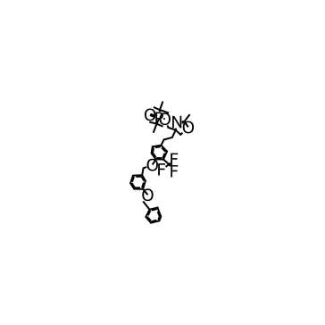 CC1=NC(CCc2ccc(OCc3cccc(OCc4ccccc4)c3)c(C(F)(F)F)c2)(COP(=O)(C(C)(C)C)C(C)(C)C)CO1